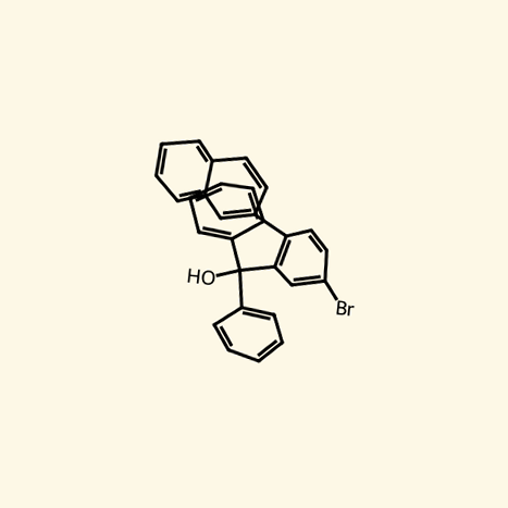 OC(c1ccccc1)(c1ccccc1)c1cc(Br)ccc1-c1ccc2ccccc2c1